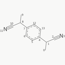 CC(C#N)c1ccc(C(C)C#N)cc1